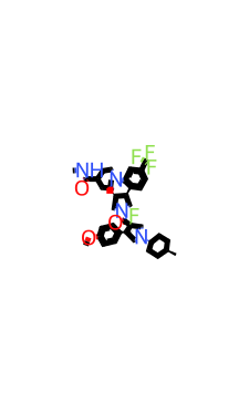 CC[C@H]1CN(C(=O)[C@]2(F)CN([C@H]3CC[C@H](C)CC3)C[C@H]2c2ccc(OC)cc2)C[C@@H]1c1ccc(C(F)(F)F)cc1N1CCC(C(=O)NC)CC1